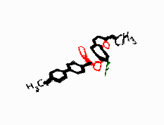 CCC1CCC(C2CCC(C(=O)Oc3cc4c(cc3F)OC(CC)CC4)CC2)CC1